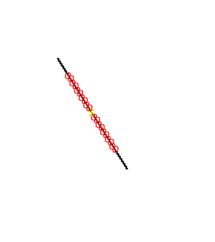 CCCCCCCCCCCCCCCCOCCOCCOCCOCCOCCOCCOCCOCCOCCOCCSSCCOCCOCCOCCOCCOCCOCCOCCOCCOCCOCCCCCCCCCCCCCC